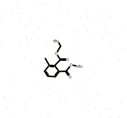 CCCCOC(=O)c1cccc(C)c1C(=O)OCC(C)(C)C